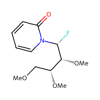 COC[C@@H](OC)[C@@H](OC)[C@@H](F)n1ccccc1=O